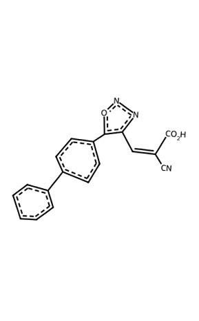 N#CC(=Cc1nnoc1-c1ccc(-c2ccccc2)cc1)C(=O)O